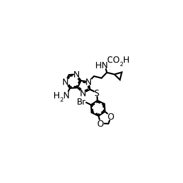 Nc1ncnc2c1nc(Sc1cc3c(cc1Br)OCO3)n2CCC(NC(=O)O)C1CC1